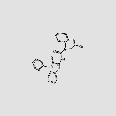 O=C(Nc1ccccc1)[C@H](Cc1ccccc1)NC(=O)N1CC(O)=Nc2ccccc21